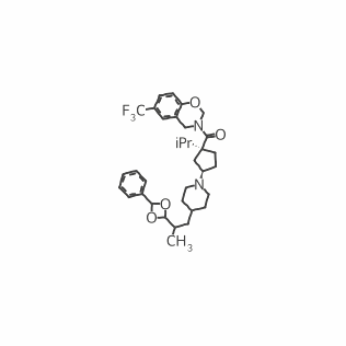 CC(CC1CCN([C@@H]2CC[C@@](C(=O)N3COc4ccc(C(F)(F)F)cc4C3)(C(C)C)C2)CC1)C1OC(c2ccccc2)O1